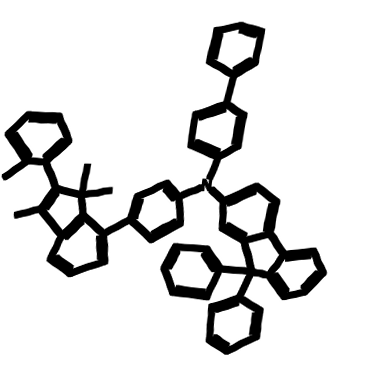 CC1=C(c2ccccc2C)C(C)(C)c2c1cccc2-c1ccc(N(c2ccc(-c3ccccc3)cc2)c2ccc3c(c2)C(c2ccccc2)(c2ccccc2)c2ccccc2-3)cc1